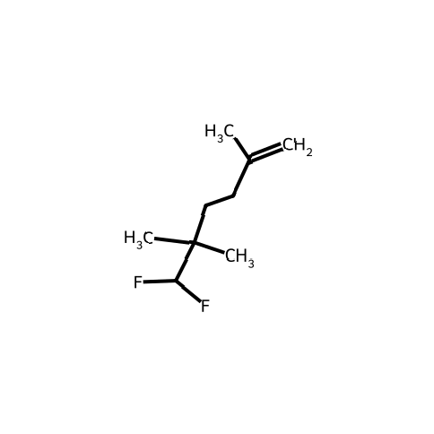 C=C(C)CCC(C)(C)C(F)F